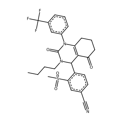 CCCCN1C(=O)N(c2cccc(C(F)(F)F)c2)C2=C(C(=O)CCC2)C1c1ccc(C#N)cc1S(C)(=O)=O